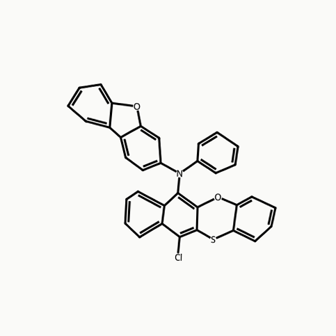 Clc1c2c(c(N(c3ccccc3)c3ccc4c(c3)oc3ccccc34)c3ccccc13)Oc1ccccc1S2